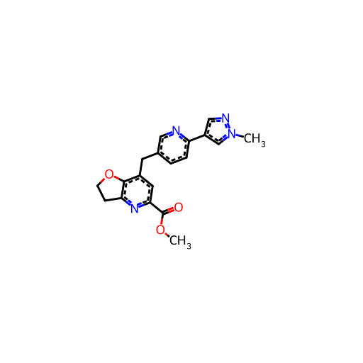 COC(=O)c1cc(Cc2ccc(-c3cnn(C)c3)nc2)c2c(n1)CCO2